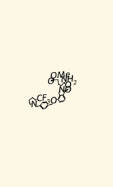 COC(=O)CCC(C(N)=O)N1Cc2c(OCc3ccc(CN4CCC[C@H]4C(F)(F)F)cc3)cccc2C1=O